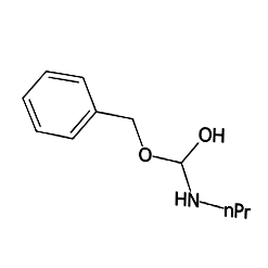 CCCNC(O)OCc1ccccc1